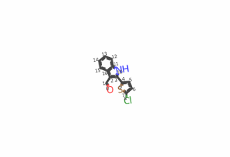 O=Cc1c(-c2ccc(Cl)s2)[nH]c2ccccc12